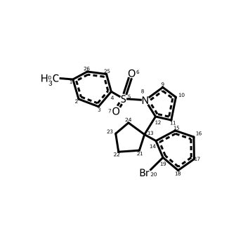 Cc1ccc(S(=O)(=O)n2cccc2C2(c3ccccc3Br)CCCC2)cc1